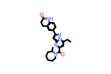 CCc1cc(C(=O)N2CCCCCC2C)nc2cc(-c3ccc4c(c3)CCC(=O)N4)nn12